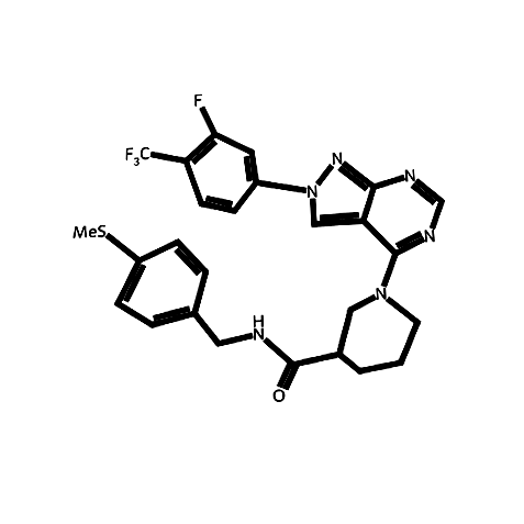 CSc1ccc(CNC(=O)C2CCCN(c3ncnc4nn(-c5ccc(C(F)(F)F)c(F)c5)cc34)C2)cc1